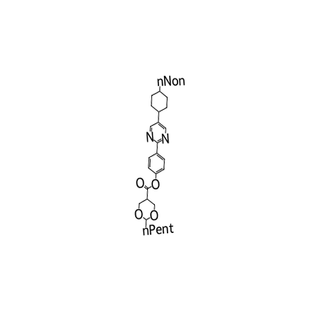 CCCCCCCCCC1CCC(c2cnc(-c3ccc(OC(=O)C4COC(CCCCC)OC4)cc3)nc2)CC1